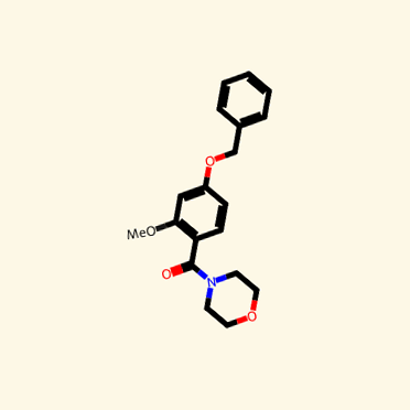 COc1cc(OCc2ccccc2)ccc1C(=O)N1CCOCC1